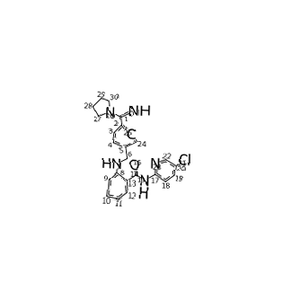 N=C(c1ccc(CNc2ccccc2C(=O)Nc2ccc(Cl)cn2)cc1)N1CCCC1